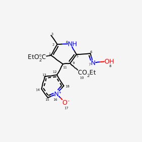 CCOC(=O)C1=C(C)NC(C=NO)=C(C(=O)OCC)C1c1ccc[n+]([O-])c1